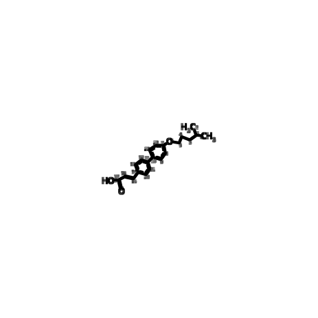 CC(C)CCCOc1ccc(-c2ccc(C=CC(=O)O)cc2)cc1